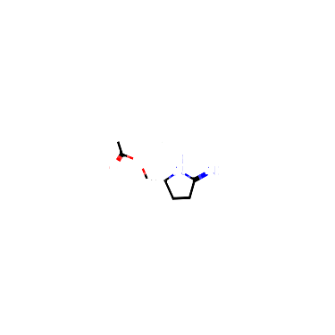 CC(=O)OC[C@H]1CCC(=N)N1.Cl